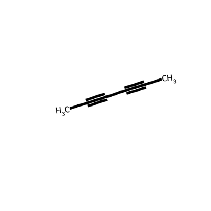 CC#CC#CC